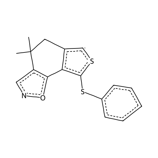 CC1(C)Cc2[c]sc(Sc3ccccc3)c2-c2oncc21